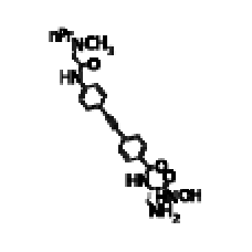 CCCN(C)CC(=O)Nc1ccc(C#Cc2ccc(C(=O)N[C@@H](CN)C(=O)NO)cc2)cc1